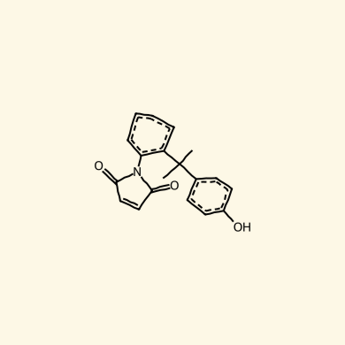 CC(C)(c1ccc(O)cc1)c1ccccc1N1C(=O)C=CC1=O